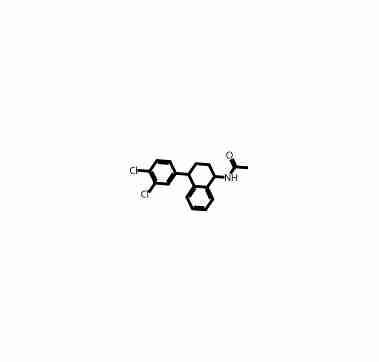 CC(=O)NC1CCC(c2ccc(Cl)c(Cl)c2)c2ccccc21